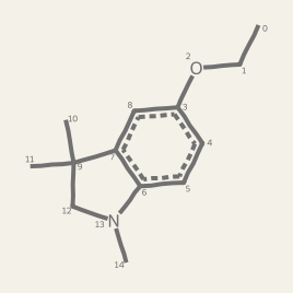 CCOc1ccc2c(c1)C(C)(C)CN2C